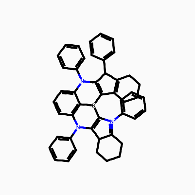 c1ccc(C2C3=C(CCCC3)C3=C2N(c2ccccc2)c2cccc4c2B3C2=C(C3CCCCC3=[N+]2c2ccccc2)N4c2ccccc2)cc1